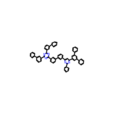 c1ccc(-c2cc(-c3ccccc3)cc(-c3cc(-c4cccc(-c5cccc(-c6nc(-c7cccc(-c8ccccc8)c7)nc(-c7cccc(-c8ccccc8)c7)n6)c5)c4)nc(-c4ccccc4)n3)c2)cc1